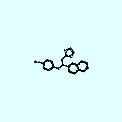 CC(C)(C)c1ccc(SC(Cc2ncc[nH]2)c2ccc3ccccc3c2)cc1